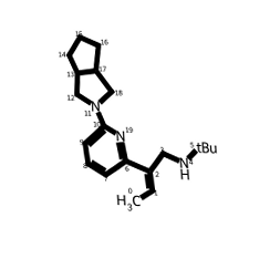 C/C=C(/CNC(C)(C)C)c1cccc(N2CC3CCCC3C2)n1